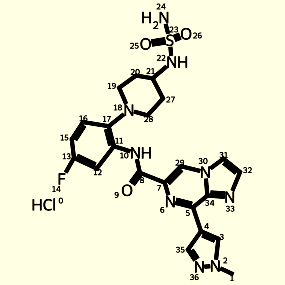 Cl.Cn1cc(-c2nc(C(=O)Nc3cc(F)ccc3N3CCC(NS(N)(=O)=O)CC3)cn3ccnc23)cn1